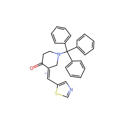 O=C1CCN(C(c2ccccc2)(c2ccccc2)c2ccccc2)C/C1=C\c1cncs1